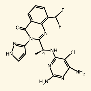 C[C@H](Nc1nc(N)nc(N)c1Cl)c1nc2c(C(F)F)cccc2c(=O)n1-c1cc[nH]n1